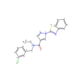 O=C(c1cnn(-c2nc3ccccc3s2)c1)N(Cc1cccc(Cl)c1)CC(F)(F)F